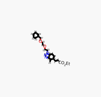 CCOC(=O)/C=C/c1ccc2c(nnn2CCOCCOCc2ccccc2)c1C